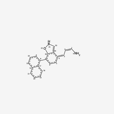 N/C=C\C=c1\ccc(-c2cccc3ccccc23)c2c1=CBO2